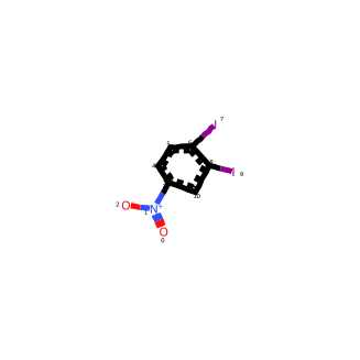 O=[N+]([O-])c1ccc(I)c(I)c1